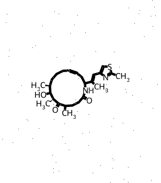 C/C(=C\c1csc(C)n1)C1C/C=C\CCC[C@H](C)C(O)[C@@H](C)C(=O)C(C)CCC(=O)N1